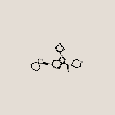 O=C(c1cn(-c2ccncn2)c2cc(C#CC3(O)CCCCC3)ccc12)N1CCNCC1